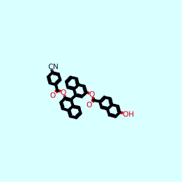 N#Cc1ccc(C(=O)Oc2ccc3ccccc3c2-c2cc(OC(=O)c3ccc4cc(O)ccc4c3)cc3ccccc23)cc1